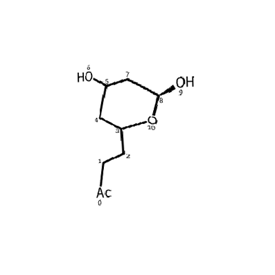 CC(=O)CCC1CC(O)C[C@@H](O)O1